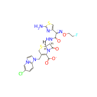 Nc1nc(/C(=N/OCCF)C(=O)N[C@@H]2C(=O)N3C(C(=O)[O-])=C(Cn4cc[n+]5cc(Cl)ccc45)CS[C@H]23)cs1